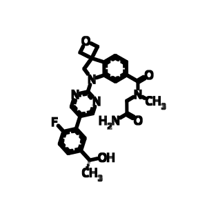 C[C@@H](O)c1ccc(F)c(-c2cnc(N3CC4(COC4)c4ccc(C(=O)N(C)CC(N)=O)cc43)nc2)c1